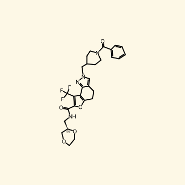 O=C(NC[C@@H]1COCCO1)c1oc2c(c1C(F)(F)F)-c1nn(CC3CCN(C(=O)c4ccccc4)CC3)cc1CC2